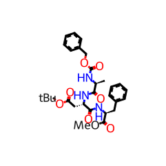 COC(=O)[C@H](Cc1ccccc1)NC(=O)[C@H](CC(=O)OC(C)(C)C)NC(=O)[C@H](C)NC(=O)OCc1ccccc1